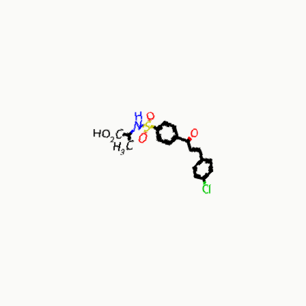 CC(NS(=O)(=O)c1ccc(C(=O)C=Cc2ccc(Cl)cc2)cc1)C(=O)O